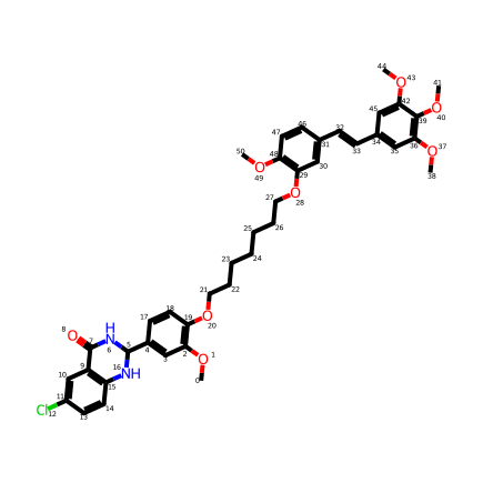 COc1cc(C2NC(=O)c3cc(Cl)ccc3N2)ccc1OCCCCCCCOc1cc(C=Cc2cc(OC)c(OC)c(OC)c2)ccc1OC